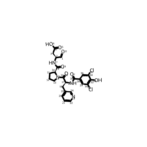 O=C[C@H](CC(=O)O)NC(=O)[C@@H]1CCCN1C(=O)[C@H](Cc1cccnc1)NC(=O)c1cc(Cl)c(O)c(Cl)c1